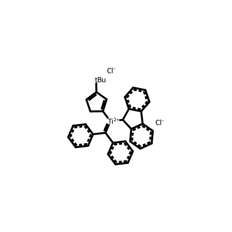 CC(C)(C)C1=CC[C]([Ti+2](=[C](c2ccccc2)c2ccccc2)[CH]2c3ccccc3-c3ccccc32)=C1.[Cl-].[Cl-]